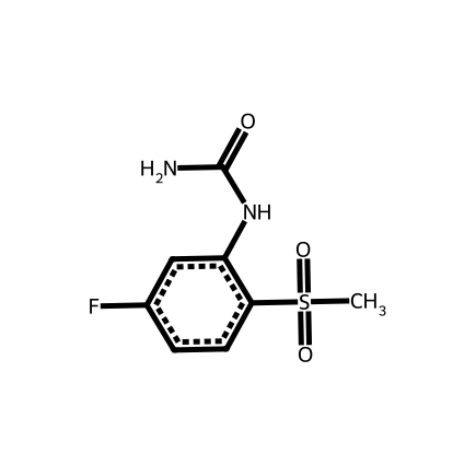 CS(=O)(=O)c1ccc(F)cc1NC(N)=O